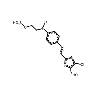 CCN(CCOS(=O)(=O)O)c1ccc(/N=N/c2nc(Cl)c(C=O)s2)cc1